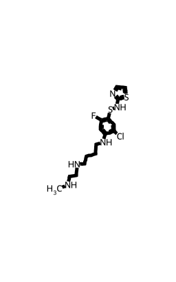 CNCCNCCCCNc1cc(F)c(SNc2nccs2)cc1Cl